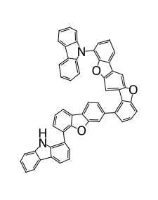 c1ccc2c(c1)[nH]c1c(-c3cccc4c3oc3cc(-c5cccc6oc7cc8c(cc7c56)oc5c(-n6c7ccccc7c7ccccc76)cccc58)ccc34)cccc12